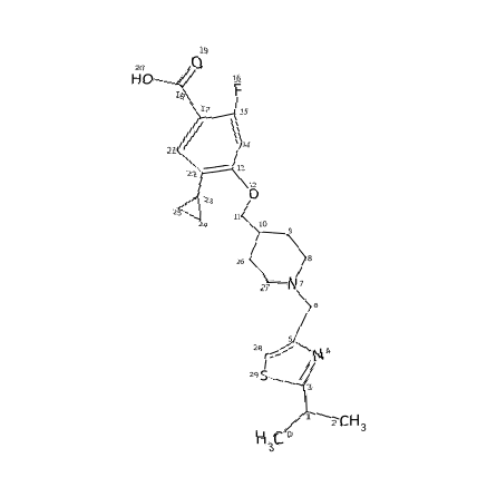 CC(C)c1nc(CN2CCC(COc3cc(F)c(C(=O)O)cc3C3CC3)CC2)cs1